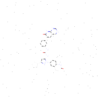 Cn1c(=O)c(-c2cccc(NC(=O)Nc3cc(C4CCCC4)nn3-c3ccc4c(c3)CCC(=O)N4)c2)cc2cncnc21